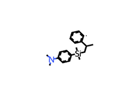 CC(C[Si](C)(C)c1ccc(N(C)C)cc1)c1[c]cccc1